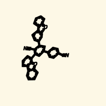 N#Cc1ccc(-c2cc(-c3ccc4c(c3)oc3ccccc34)c(C#N)c(-c3cccc4c3oc3ccccc34)c2)cc1